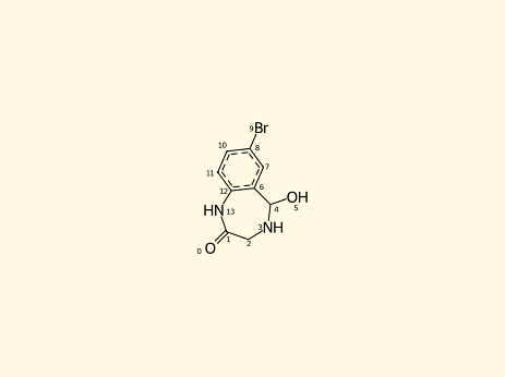 O=C1CNC(O)c2cc(Br)ccc2N1